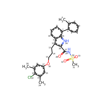 Cc1ccccc1-c1cccc2c(CCCOc3cc(C)c(Cl)c(C)c3)c(C(=O)NS(C)(=O)=O)[nH]c12